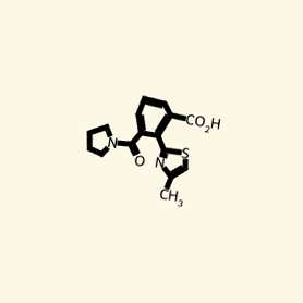 Cc1csc(-c2c(C(=O)O)cccc2C(=O)N2CCCC2)n1